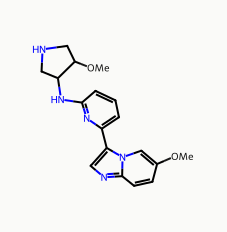 COc1ccc2ncc(-c3cccc(NC4CNCC4OC)n3)n2c1